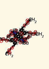 C=CC(=O)OCCOCCc1ccc(Oc2cc3c4c(cc(Oc5ccc(CCOCCOC(=O)C=C)cc5)c5c6c(Oc7ccc(CCOCCOC(=O)C=C)cc7)cc7c8c(cc(Oc9ccc(CCOCCOC(=O)C=C)cc9)c(c2c45)c86)C(=O)N(C(C(=O)OCCOCC)C(C)CC)C7=O)C(=O)N(C(C(=O)OCCOCC)C(C)CC)C3=O)cc1